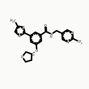 Cc1cnc(-c2cc(O[C@@H]3CCOC3)cc(C(=O)NCc3cnc(C(F)(F)F)nc3)c2)s1